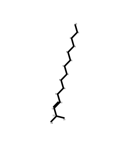 [CH2]CCCCCCCCCCC=CC(C)C